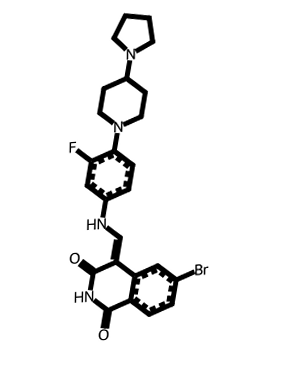 O=C1NC(=O)c2ccc(Br)cc2/C1=C/Nc1ccc(N2CCC(N3CCCC3)CC2)c(F)c1